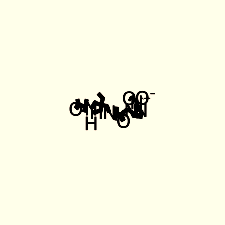 CCC(CC)(CNC(C)(C)C(C)=O)CNC(C)(C)C(=O)Cn1ccnc1[N+](=O)[O-]